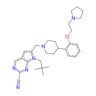 CC(C)(C)Cn1c(CN2CCC(c3ccccc3OCCN3CCCC3)CC2)cc2cnc(C#N)nc21